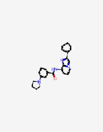 O=C(Nc1cccn2cc(-c3ccccc3)nc12)c1cccc(N2CCCC2)c1